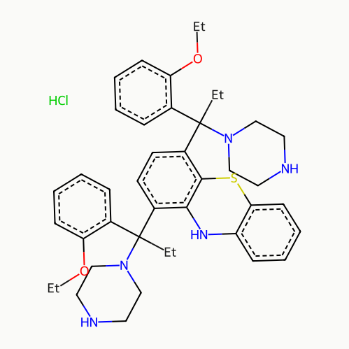 CCOc1ccccc1C(CC)(c1ccc(C(CC)(c2ccccc2OCC)N2CCNCC2)c2c1Nc1ccccc1S2)N1CCNCC1.Cl